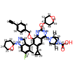 C#Cc1ccc(COc2c(-c3c(C)c(F)cc4c3cnn4C3CCCCO3)c(C3CC3)cc3c(N4C[C@@H]5C[C@H]4CN5C(=O)O)nc(OC4CCOCC4)nc23)cc1